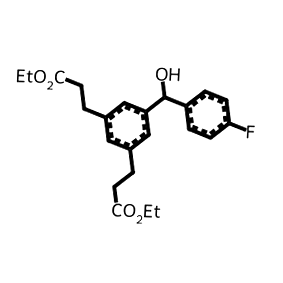 CCOC(=O)CCc1cc(CCC(=O)OCC)cc(C(O)c2ccc(F)cc2)c1